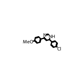 COc1ccc(C2=CC(c3ccc(Cl)cc3)NC=N2)cc1